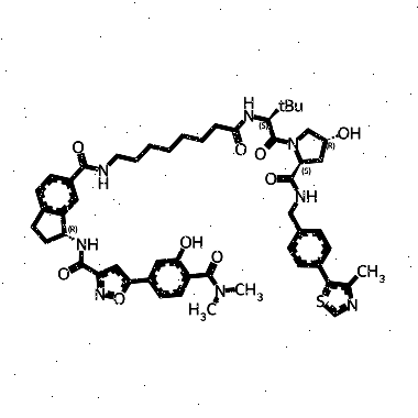 Cc1ncsc1-c1ccc(CNC(=O)[C@@H]2C[C@@H](O)CN2C(=O)[C@@H](NC(=O)CCCCCCCNC(=O)c2ccc3c(c2)[C@H](NC(=O)c2cc(-c4ccc(C(=O)N(C)C)c(O)c4)on2)CC3)C(C)(C)C)cc1